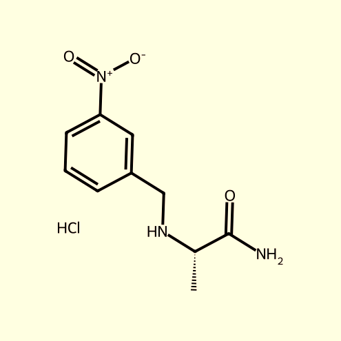 C[C@H](NCc1cccc([N+](=O)[O-])c1)C(N)=O.Cl